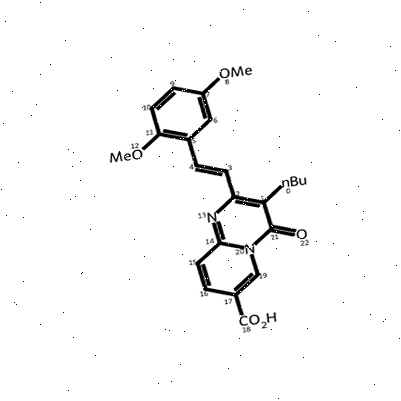 CCCCc1c(C=Cc2cc(OC)ccc2OC)nc2ccc(C(=O)O)cn2c1=O